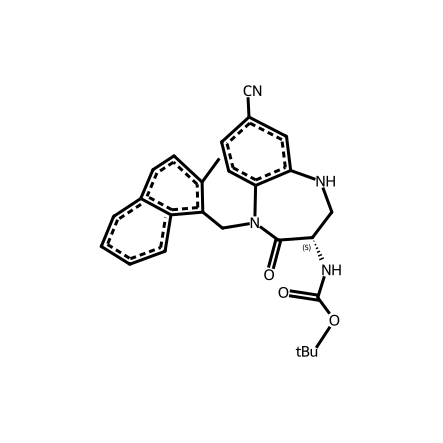 Cc1ccc2ccccc2c1CN1C(=O)[C@@H](NC(=O)OC(C)(C)C)CNc2cc(C#N)ccc21